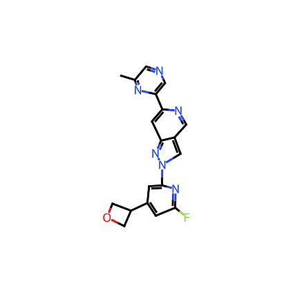 Cc1cncc(-c2cc3nn(-c4cc(C5COC5)cc(F)n4)cc3cn2)n1